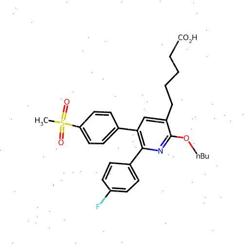 CCCCOc1nc(-c2ccc(F)cc2)c(-c2ccc(S(C)(=O)=O)cc2)cc1CCCCC(=O)O